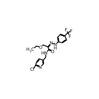 CCOCC(=NNc1ccc(C(F)(F)F)cc1)C(=O)NCc1ccc(Cl)nc1